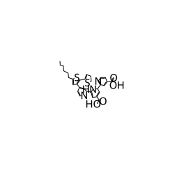 CCCCCCc1cc(-c2ccnc(C3=CC(C(=O)O)=CC(c4cc(C(=O)O)ccn4)N3)c2)c(C2=CCCS2)s1